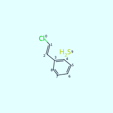 ClC=Cc1ccccc1.S